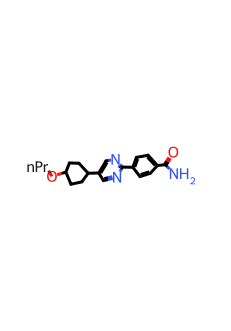 CCCOC1CCC(c2cnc(-c3ccc(C(N)=O)cc3)nc2)CC1